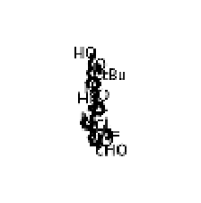 Cc1c(NC(=O)c2ccc(CN(CCO)C(=O)OC(C)(C)C)cn2)cccc1-c1nccc(-c2ccc(C=O)c(OC(F)F)n2)c1Cl